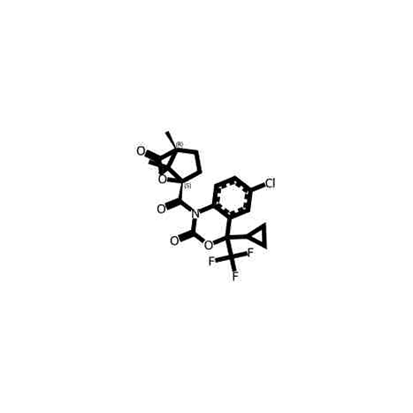 CC1(C)[C@@]2(C)CC[C@]1(C(=O)N1C(=O)OC(C3CC3)(C(F)(F)F)c3cc(Cl)ccc31)OC2=O